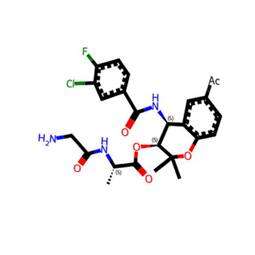 CC(=O)c1ccc2c(c1)[C@H](NC(=O)c1ccc(F)c(Cl)c1)[C@H](OC(=O)[C@H](C)NC(=O)CN)C(C)(C)O2